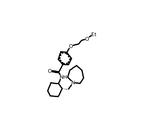 CCOCCOc1ccc(C(=O)NC2CCCC[C@H]2CN2CCCCCC2)cc1